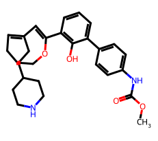 COC(=O)Nc1ccc(-c2cccc(/C3=C/C(CCC4CCNCC4)=C/CCCO3)c2O)cc1